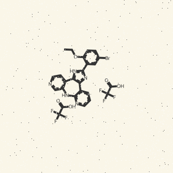 CCOc1ccc(Br)cc1-c1nc2c([nH]1)-c1ccncc1Nc1ncccc1-2.O=C(O)C(F)(F)F.O=C(O)C(F)(F)F